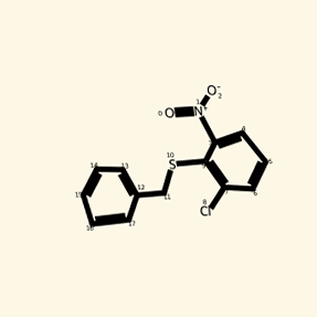 O=[N+]([O-])c1cccc(Cl)c1SCc1ccccc1